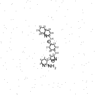 Nc1ncccc1-c1cc(Cc2ccc(OCc3ccc4ccccc4n3)cc2)no1